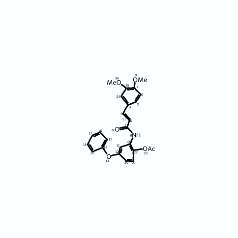 COc1ccc(/C=C/C(=O)Nc2cc(Oc3ccccc3)ccc2OC(C)=O)cc1OC